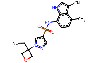 Cc1ccc(NS(=O)(=O)c2cnn(C3(CC#N)COC3)c2)c2[nH]cc(C#N)c12